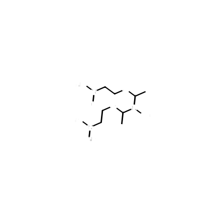 CCCN(CCC)CCOC(C)N(CCC)C(C)OCCN(CCC)CCC